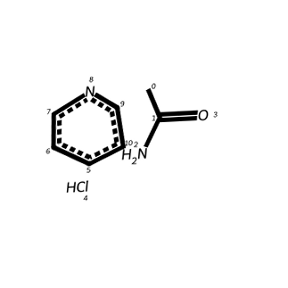 CC(N)=O.Cl.c1ccncc1